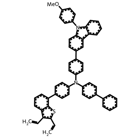 C=Cc1sc2c(-c3ccc(N(c4ccc(-c5ccccc5)cc4)c4ccc(-c5ccc6c(c5)c5ccccc5n6-c5ccc(OC)cc5)cc4)cc3)cccc2c1C=C